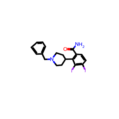 NC(=O)c1ccc(I)c(I)c1C1CCN(Cc2ccccc2)CC1